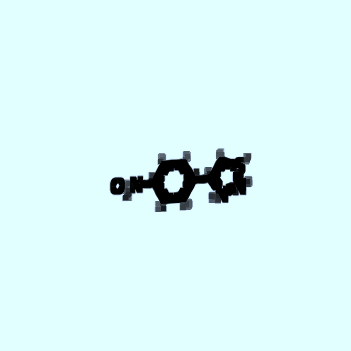 O=[N+]([O-])c1ccc(-c2csnn2)cc1